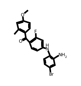 COc1ccc(C(=O)c2ccc(Nc3ccc(Br)cc3N)cc2F)c(C)c1